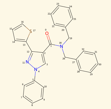 O=C(c1cn(-c2ccccc2)nc1-c1cccs1)N(Cc1ccccc1)Cc1ccccc1